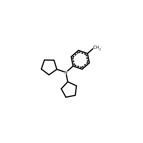 [CH2]c1ccc(N(C2CCCC2)C2CCCC2)cc1